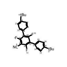 CC(C)(C)c1ccc(-c2c(F)c(C#N)c(F)c(-c3ccc(C(C)(C)C)cc3)c2F)cc1